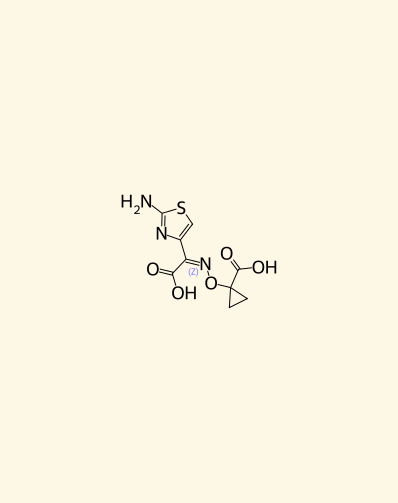 Nc1nc(/C(=N/OC2(C(=O)O)CC2)C(=O)O)cs1